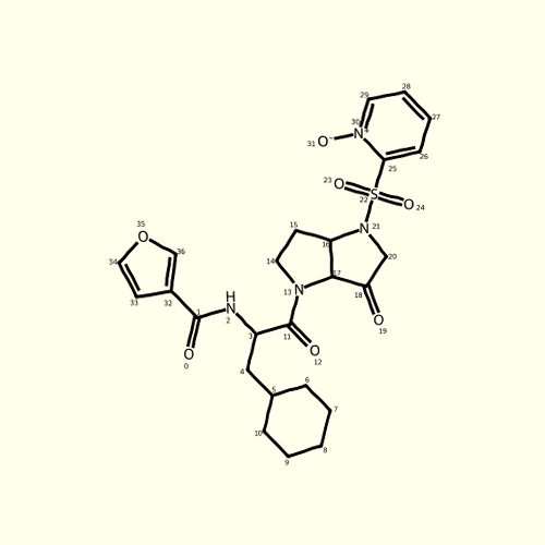 O=C(NC(CC1CCCCC1)C(=O)N1CCC2C1C(=O)CN2S(=O)(=O)c1cccc[n+]1[O-])c1ccoc1